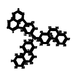 c1cc2c3c(cccc3c1)-c1cc(N(c3ccc4c(ccc5ccccc54)c3)c3ccc4c(ccc5ccccc54)c3)ccc1-2